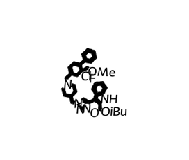 COCC1(Cl)CC(CN2CCC(Cn3cc(-c4c(C(=O)OCC(C)C)[nH]c5ccc(F)cc45)nn3)CC2)=CC=C1c1ccccc1